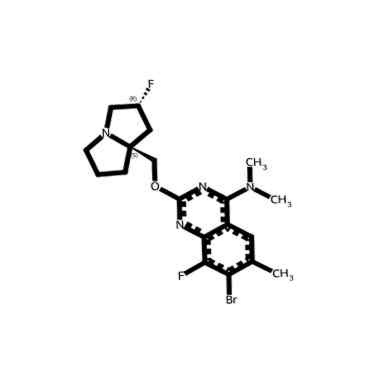 Cc1cc2c(N(C)C)nc(OC[C@@]34CCCN3C[C@H](F)C4)nc2c(F)c1Br